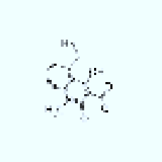 Cn1c(=O)c(C(=O)O)c(O)c2c(CS)cccc21